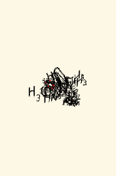 CC[C@@H]([C@H](C)O)N1C(=O)N(c2ccccc2)C(N2CCNCC2c2ccccc2OC)N1C1COC(Cn2cncn2)(c2ccc(F)cc2F)C1